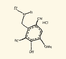 CCN(CC)Cc1c(C#N)cc(OC)c(O)c1C#N.Cl